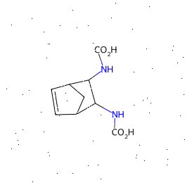 O=C(O)NC1C2C=CC(C2)C1NC(=O)O